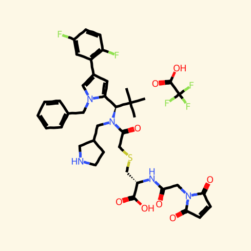 CC(C)(C)[C@H](c1cc(-c2cc(F)ccc2F)cn1Cc1ccccc1)N(CC1CCNC1)C(=O)CSC[C@H](NC(=O)CN1C(=O)C=CC1=O)C(=O)O.O=C(O)C(F)(F)F